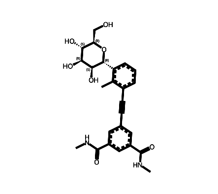 CNC(=O)c1cc(C#Cc2cccc([C@H]3O[C@H](CO)[C@@H](O)[C@H](O)[C@@H]3O)c2C)cc(C(=O)NC)c1